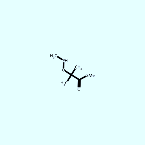 CPOC(C)(C)C(=O)SC